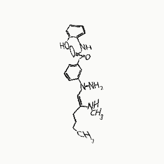 CCCC/C(=C/N(N)c1cccc(S(=O)(=O)Nc2ccccc2O)c1)NC